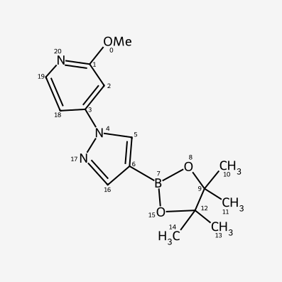 COc1cc(-n2cc(B3OC(C)(C)C(C)(C)O3)cn2)ccn1